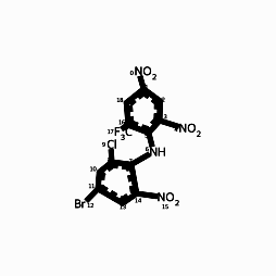 O=[N+]([O-])c1cc([N+](=O)[O-])c(Nc2c(Cl)cc(Br)cc2[N+](=O)[O-])c(C(F)(F)F)c1